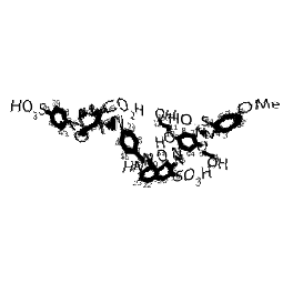 COc1ccc(/N=N/c2cc(OCCO)c(/N=N/c3c(S(=O)(=O)O)cc4ccc5[nH]c(-c6ccc(/N=N/C7C(=O)N(c8ccc(S(=O)(=O)O)cc8)N=C7C(=O)O)cc6)nc5c4c3O)cc2OCCO)c(S(=O)(=O)O)c1